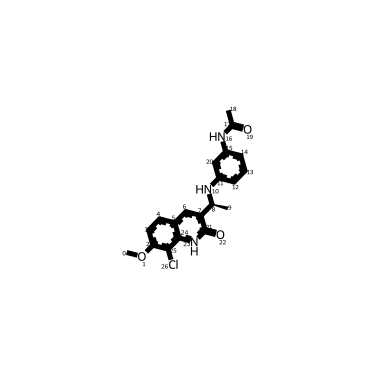 COc1ccc2cc([C@H](C)Nc3cccc(NC(C)=O)c3)c(=O)[nH]c2c1Cl